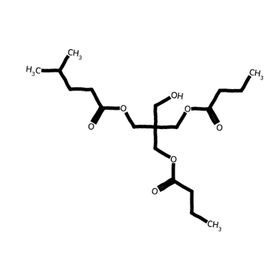 CCCC(=O)OCC(CO)(COC(=O)CCC)COC(=O)CCC(C)C